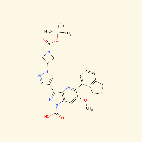 COc1cc2c(nc1-c1cccc3c1CCC3)c(-c1cnn(C3CN(C(=O)OC(C)(C)C)C3)c1)nn2C(=O)O